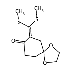 CSC(SC)=C1CC2(CCC1=O)OCCO2